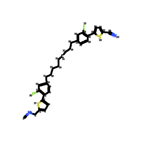 C=NCc1ccc(-c2ccc(CCCCCCCCCc3ccc(-c4ccc(C#N)s4)c(F)c3)cc2F)s1